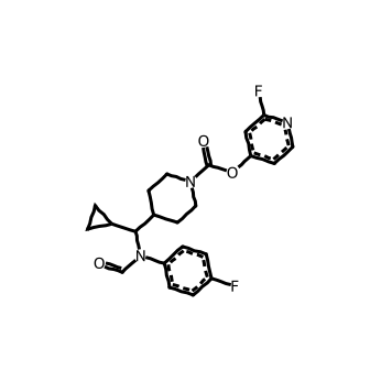 O=CN(c1ccc(F)cc1)C(C1CC1)C1CCN(C(=O)Oc2ccnc(F)c2)CC1